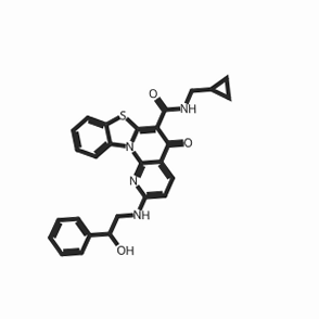 O=C(NCC1CC1)c1c(=O)c2ccc(NCC(O)c3ccccc3)nc2n2c1sc1ccccc12